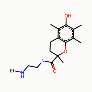 CCNCCNC(=O)C1(C)CCc2c(C)c(O)c(C)c(C)c2O1